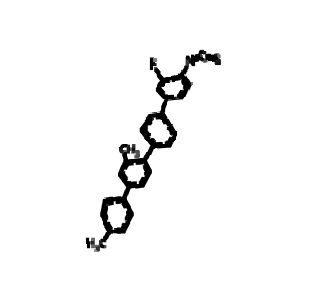 Cc1ccc(-c2ccc(-c3ccc(-c4ccc(N=C=S)c(F)c4)cc3)c(C)c2)cc1